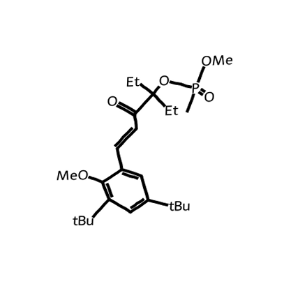 CCC(CC)(OP(C)(=O)OC)C(=O)C=Cc1cc(C(C)(C)C)cc(C(C)(C)C)c1OC